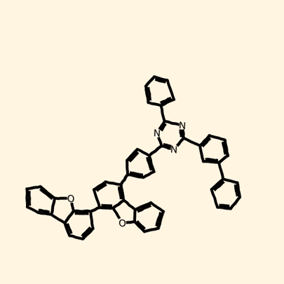 c1ccc(-c2cccc(-c3nc(-c4ccccc4)nc(-c4ccc(-c5ccc(-c6cccc7c6oc6ccccc67)c6oc7ccccc7c56)cc4)n3)c2)cc1